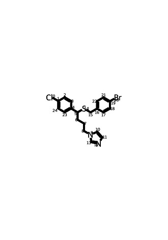 Clc1ccc(C(CCCn2ccnc2)SCc2ccc(Br)cc2)cc1